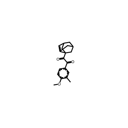 COc1ccc(C(=O)C(=O)C23CC4C=C2CC(C4)C3)cc1C